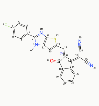 Cn1c(-c2ccc(F)cc2)nc2sc(/C=C3\C(=O)c4ccccc4C3=C(C#N)C#N)cc21